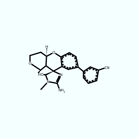 C[C@H]1OCC[C@H]2Oc3ccc(-c4cccc(C#N)c4)cc3[C@]3(N=C(N)N(C)C3O)C12